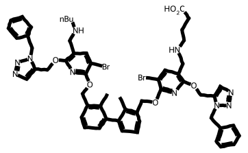 CCCCNCc1cc(Br)c(OCc2cccc(-c3cccc(COc4nc(OCc5cnnn5Cc5ccccc5)c(CNCCCC(=O)O)cc4Br)c3C)c2C)nc1OCc1cnnn1Cc1ccccc1